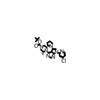 C[C@H]1CN(C(=O)OC(C)(C)C)CCN1c1ncnc2c1c(N1CCCC1)cn2-c1cc(Cl)ccn1